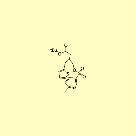 Cc1ccc(S(=O)(=O)OCC(CC(=O)OC(C)(C)C)Cc2cccs2)cc1